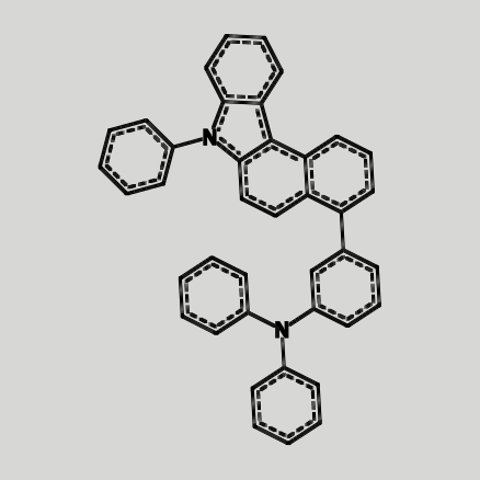 c1ccc(N(c2ccccc2)c2cccc(-c3cccc4c3ccc3c4c4ccccc4n3-c3ccccc3)c2)cc1